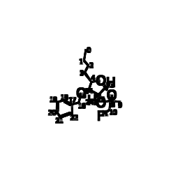 CCCC[C@H]1O[C@@H]2OC(C)(CF)O[C@@H]2[C@H]1OCc1ccccc1